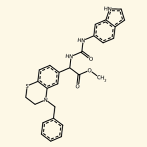 COC(=O)C(NC(=O)Nc1ccc2cc[nH]c2c1)c1ccc2c(c1)N(Cc1ccccc1)CCS2